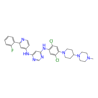 CN1CCN(C2CCN(c3cc(Cl)c(Nc4cc(Nc5ccnc(-c6ccccc6F)c5)ncn4)cc3Cl)CC2)CC1